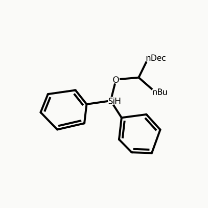 CCCCCCCCCCC(CCCC)O[SiH](c1ccccc1)c1ccccc1